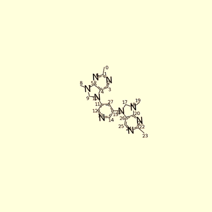 Cc1ncc2c(n1)N(C)CN2c1cncc(N2CN(C)c3nc(C)ncc32)c1